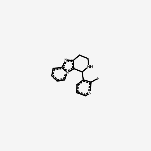 Fc1ncccc1C1NCCc2nc3ccccn3c21